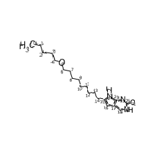 CCCCCOCCCCCCCCCc1cc2c[nH]c(=O)nc2[nH]1